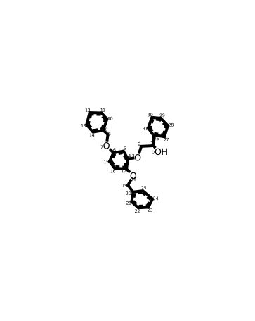 OC(COc1cc(OCc2ccccc2)ccc1OCc1ccccc1)c1ccccc1